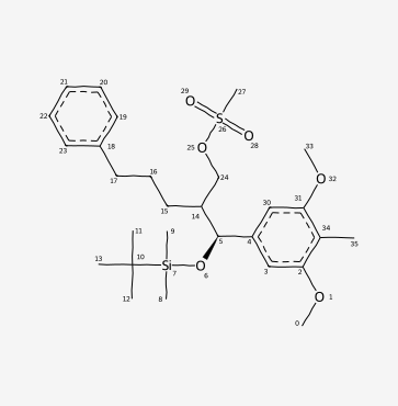 COc1cc([C@@H](O[Si](C)(C)C(C)(C)C)C(CCCc2ccccc2)COS(C)(=O)=O)cc(OC)c1C